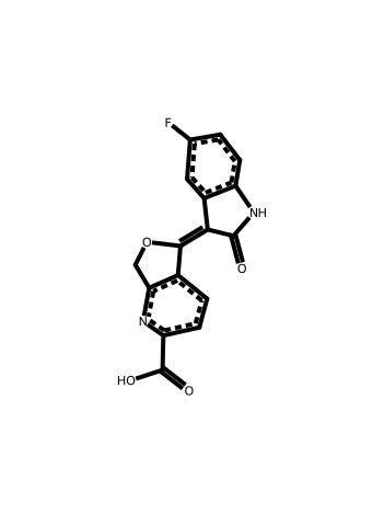 O=C1Nc2ccc(F)cc2C1=C1OCc2nc(C(=O)O)ccc21